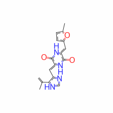 C=C(C)c1[nH]cnc1/C=c1\[nH]c(=O)/c(=C/c2ccc(C)o2)[nH]c1=O